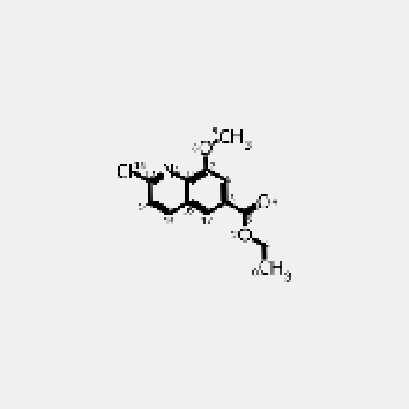 CCOC(=O)c1cc(OC)c2nc(Cl)ccc2c1